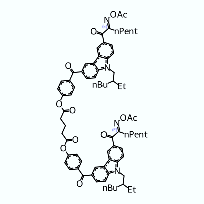 CCCCC/C(=N\OC(C)=O)C(=O)c1ccc2c(c1)c1cc(C(=O)c3ccc(OC(=O)CCCC(=O)Oc4ccc(C(=O)c5ccc6c(c5)c5cc(C(=O)/C(CCCCC)=N/OC(C)=O)ccc5n6CC(CC)CCCC)cc4)cc3)ccc1n2CC(CC)CCCC